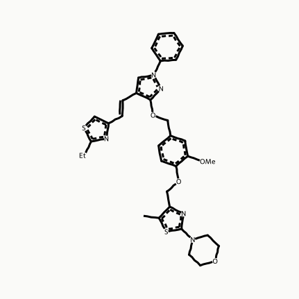 CCc1nc(/C=C/c2cn(-c3ccccc3)nc2OCc2ccc(OCc3nc(N4CCOCC4)sc3C)c(OC)c2)cs1